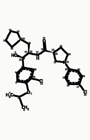 CC(C)Oc1ccc([C@@H](O)[C@@H](CN2CCCC2)NC(=O)[C@@H]2CCN(c3ccc(Cl)cc3)C2)cc1Cl